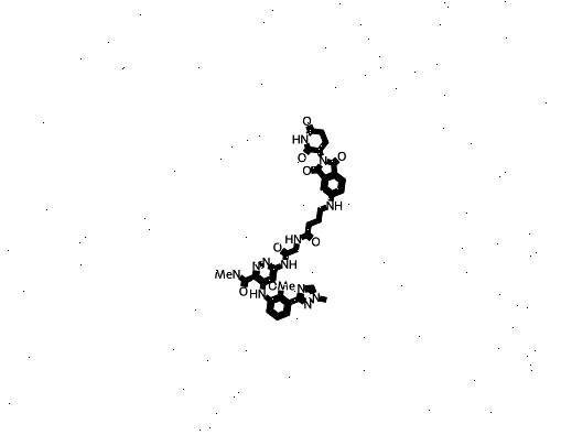 CNC(=O)c1nnc(NC(=O)CNC(=O)CCCNc2ccc3c(c2)C(=O)N(C2CCC(=O)NC2=O)C3=O)cc1Nc1cccc(-c2ncn(C)n2)c1OC